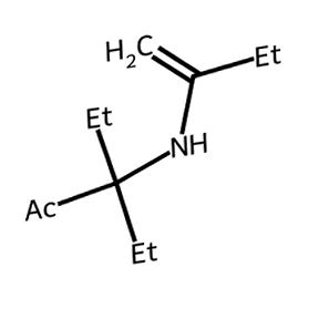 C=C(CC)NC(CC)(CC)C(C)=O